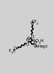 CCCCCCCOC(=O)CC(C(=O)OCCCCCCOC(F)(F)F)C(C(=O)OCCCCCCOC(F)(F)F)S(=O)(=O)O